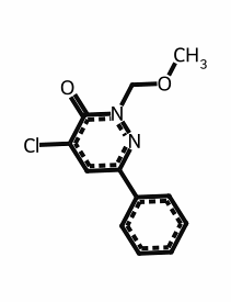 COCn1nc(-c2ccccc2)cc(Cl)c1=O